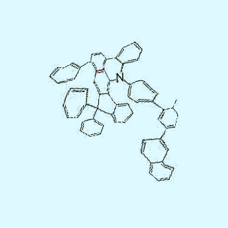 CC1CC=C(c2ccc3ccccc3c2)C=C1c1ccc(N(c2ccccc2-c2ccc(-c3ccccc3)cc2)c2cccc3c2-c2ccccc2C3(c2ccccc2)c2ccccc2)cc1